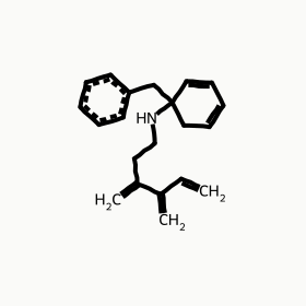 C=CC(=C)C(=C)CCNC1(Cc2ccccc2)C=CC=CC1